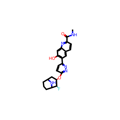 CNC(=O)c1ccc2cc(-c3ccc(O[C@@H]4CC5CCCC(N5)[C@@H]4F)nn3)c(O)cc2n1